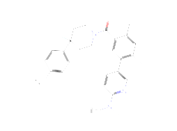 Cc1cc(C)c(-c2ccc(N(C)C(C)C)nc2)cc1C(=O)N1CCC(F)(c2ccc(C#N)cc2)CC1